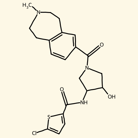 CN1CCc2ccc(C(=O)N3CC(O)C(NC(=O)c4ccc(Cl)s4)C3)cc2CC1